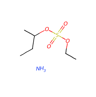 CCOS(=O)(=O)OC(C)CC.N